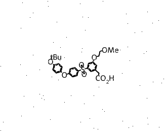 COCCOc1cc(CC(=O)O)cc(S(=O)(=O)c2ccc(Oc3ccc(OC(C)(C)C)cc3)cc2)c1